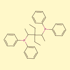 CCC(CC)(C(C)P(c1ccccc1)c1ccccc1)C(C)P(c1ccccc1)c1ccccc1